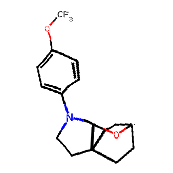 FC(F)(F)Oc1ccc(N2CCC34CC[C](CC3)OC24)cc1